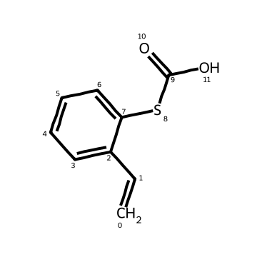 C=Cc1ccccc1SC(=O)O